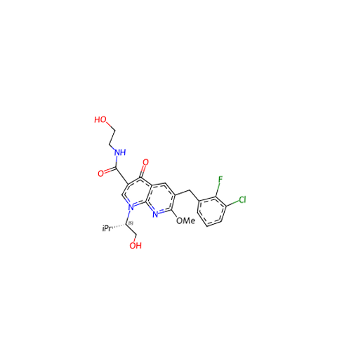 COc1nc2c(cc1Cc1cccc(Cl)c1F)c(=O)c(C(=O)NCCO)cn2[C@H](CO)C(C)C